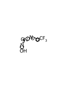 O=C(CCN1CCC(O)CC1)N1CCC(=NOCc2cccc(C(F)(F)F)c2)CC1